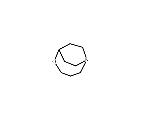 C1COC2CCN(C1)CC2